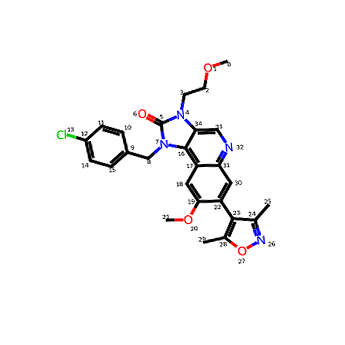 COCCn1c(=O)n(Cc2ccc(Cl)cc2)c2c3cc(OC)c(-c4c(C)noc4C)cc3ncc21